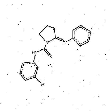 S=C(Nc1cccc(Br)c1)N1CCSC1=Nc1ccccc1